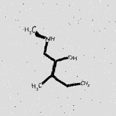 CCC(C)C(O)CNC